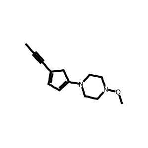 CC#CC1=CC=C(N2CCN(OC)CC2)C1